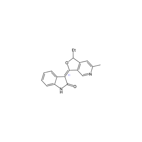 CCC1O/C(=C2/C(=O)Nc3ccccc32)c2cnc(C)cc21